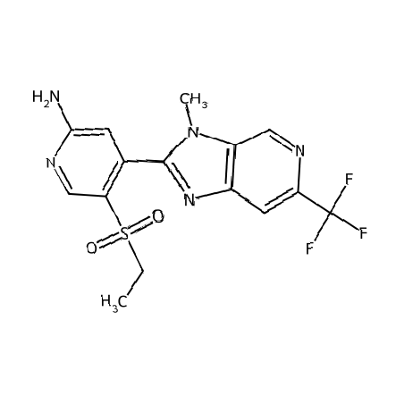 CCS(=O)(=O)c1cnc(N)cc1-c1nc2cc(C(F)(F)F)ncc2n1C